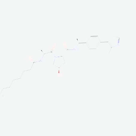 Cc1ncsc1-c1ccc([C@H](C)NC(=O)[C@@H]2C[C@@H](O)CN2C(=O)[C@@H](NC(=O)CCCCCCC=O)C(C)(C)C)cc1